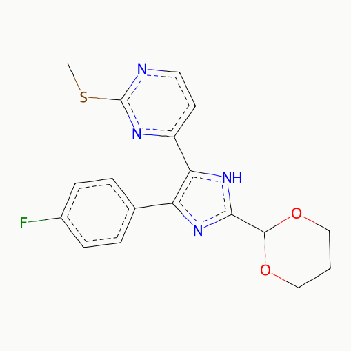 CSc1nccc(-c2[nH]c(C3OCCCO3)nc2-c2ccc(F)cc2)n1